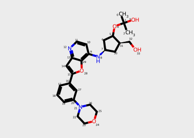 CC(C)(O)OC1C[C@H](Nc2ccnc3cc(-c4cccc(N5CCOCC5)c4)oc23)C[C@@H]1CO